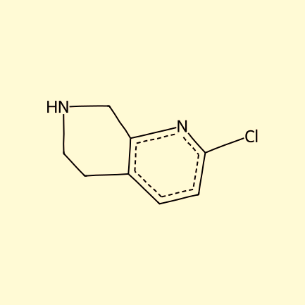 Clc1ccc2c(n1)CNCC2